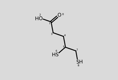 O=C(O)CCC(S)CS